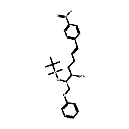 CC(C)(C)[Si](C)(C)O[C@H](COc1ccccc1)[C@H](N)CC/C=C/c1ccc([N+](=O)[O-])cc1